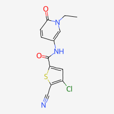 CCn1cc(NC(=O)c2cc(Cl)c(C#N)s2)ccc1=O